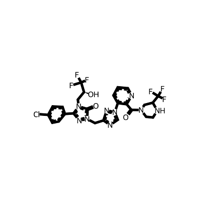 O=C(c1ncccc1-n1cnc(Cn2nc(-c3ccc(Cl)cc3)n(C[C@@H](O)C(F)(F)F)c2=O)n1)N1CCNC(C(F)(F)F)C1